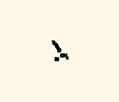 O.[Ni].[O]=[Ti]